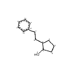 OC1CCCC1CCc1ccccc1